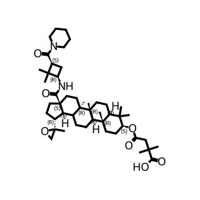 CC(C)(CC(=O)O[C@H]1CC[C@]2(C)[C@H]3CCC4[C@H]5[C@H](C6(C)CO6)CC[C@]5(C(=O)N[C@@H]5C[C@H](C(=O)N6CCCCC6)C5(C)C)CC[C@@]4(C)[C@]3(C)CC[C@H]2C1(C)C)C(=O)O